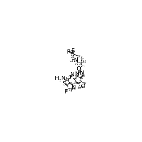 N#Cc1c(N)sc2c(F)cnc(-c3c4c(c5cnc(OCC6(CN7CC8C(C7)C8(F)F)CC6)nc5c3F)COC4)c12